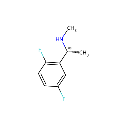 CN[C@H](C)c1cc(F)ccc1F